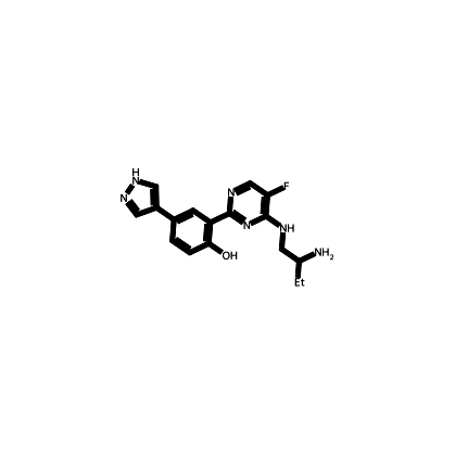 CCC(N)CNc1nc(-c2cc(-c3cn[nH]c3)ccc2O)ncc1F